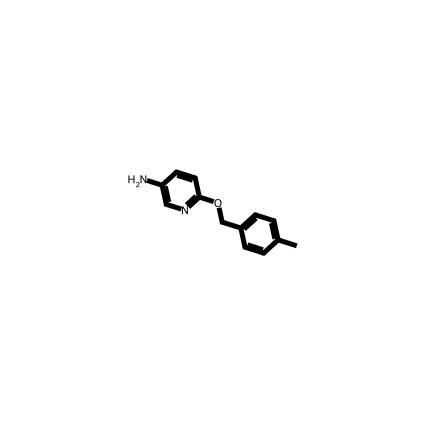 Cc1ccc(COc2ccc(N)cn2)cc1